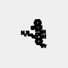 CC(C)c1ccc(OCCCN)c(NC(=O)Nc2nc3ccccc3[n+]([O-])n2)c1